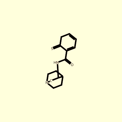 O=C(NC1CN2CCC1CC2)C1=CC=CCC1=S